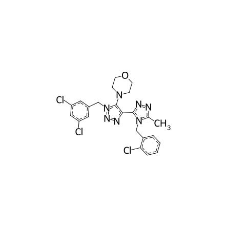 Cc1nnc(-c2nnn(Cc3cc(Cl)cc(Cl)c3)c2N2CCOCC2)n1Cc1ccccc1Cl